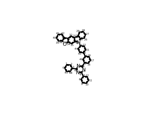 c1ccc(-c2nc(-c3ccccc3)nc(-c3cccc(-c4ccc(-n5c6ccccc6c6cc7c(cc65)oc5ccccc57)cc4)c3)n2)cc1